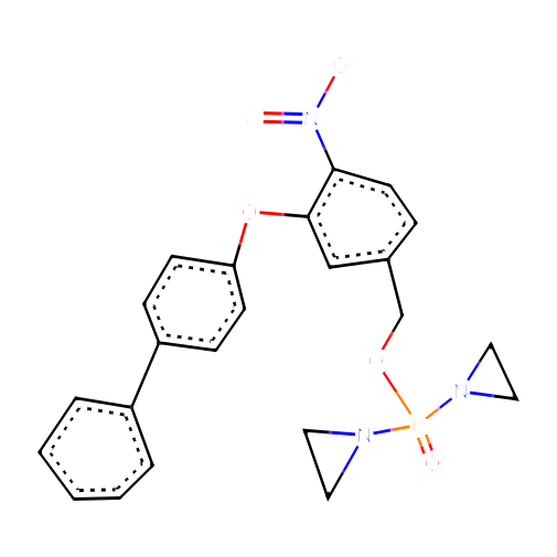 O=[N+]([O-])c1ccc(COP(=O)(N2CC2)N2CC2)cc1Oc1ccc(-c2ccccc2)cc1